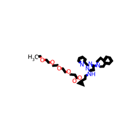 CCOCCOCCOCCOCCC(=O)OC1(CCNc2cc(N3CCc4ccccc4CC3)nc(-c3ccccn3)n2)CC1